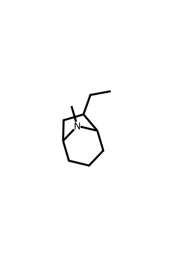 CCC1CC2CCCC1N2C